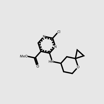 COC(=O)c1cnc(Cl)nc1NC1CCOC2(CC2)C1